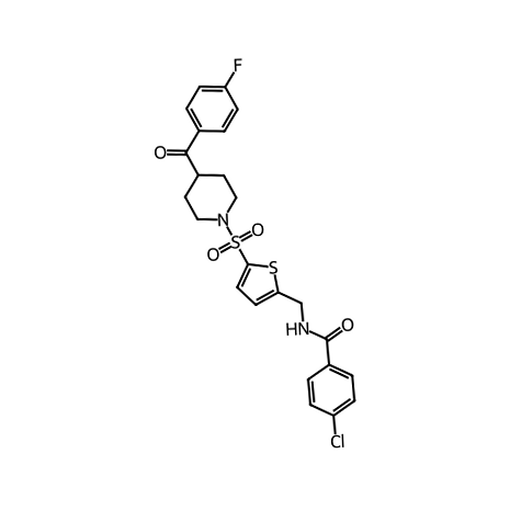 O=C(NCc1ccc(S(=O)(=O)N2CCC(C(=O)c3ccc(F)cc3)CC2)s1)c1ccc(Cl)cc1